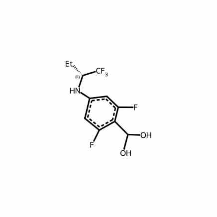 CC[C@@H](Nc1cc(F)c(C(O)O)c(F)c1)C(F)(F)F